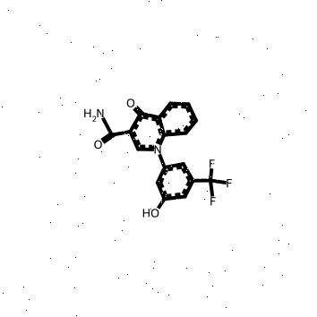 NC(=O)c1cn(-c2cc(O)cc(C(F)(F)F)c2)c2ccccc2c1=O